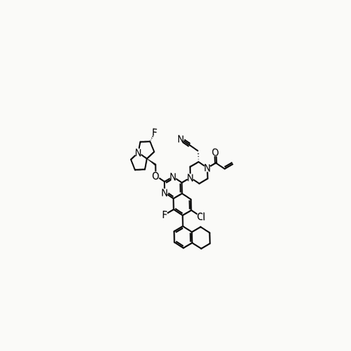 C=CC(=O)N1CCN(c2nc(OC[C@@]34CCCN3C[C@H](F)C4)nc3c(F)c(-c4cccc5c4CCCC5)c(Cl)cc23)C[C@@H]1CC#N